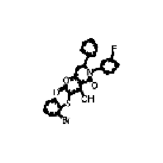 O=c1oc2cc(-c3ccccc3)n(-c3cccc(F)c3)c(=O)c2c(O)c1Sc1ccccc1Br